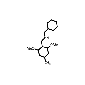 COC1CC(C)CC(OC)C1CNCC1CCCCC1